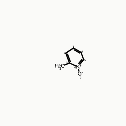 Cc1cc[c]c[n+]1[O-]